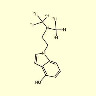 [2H]C([2H])([2H])N(CCn1ccc2c(O)cccc21)C([2H])([2H])[2H]